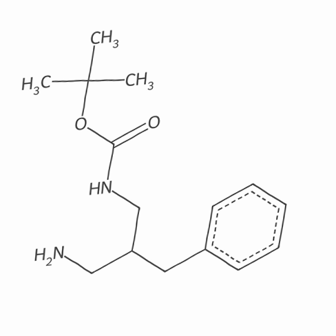 CC(C)(C)OC(=O)NCC(CN)Cc1ccccc1